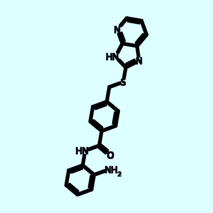 Nc1ccccc1NC(=O)c1ccc(CSc2nc3cccnc3[nH]2)cc1